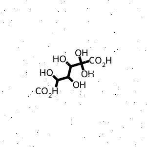 O=C(O)C(O)C(O)C(O)C(O)(O)C(=O)O